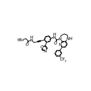 CC(C)(C)CC(=O)NCC#Cc1ccc(NC(=O)N2CCCNc3ccc(-c4cccc(C(F)(F)F)c4)nc32)cc1-c1cnco1